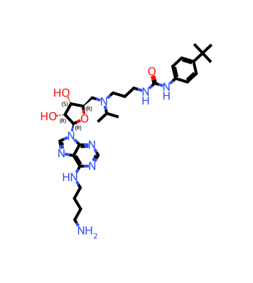 CC(C)N(CCCNC(=O)Nc1ccc(C(C)(C)C)cc1)C[C@H]1O[C@@H](n2cnc3c(NCCCCN)ncnc32)[C@H](O)[C@@H]1O